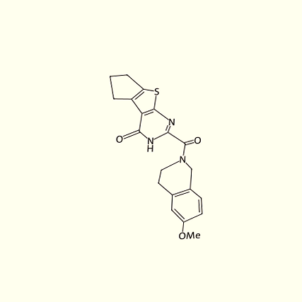 COc1ccc2c(c1)CCN(C(=O)c1nc3sc4c(c3c(=O)[nH]1)CCC4)C2